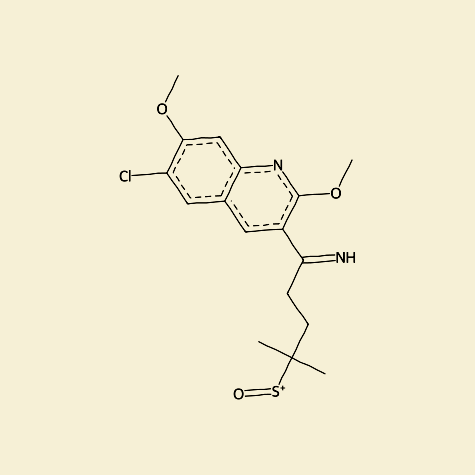 COc1cc2nc(OC)c(C(=N)CCC(C)(C)[S+]=O)cc2cc1Cl